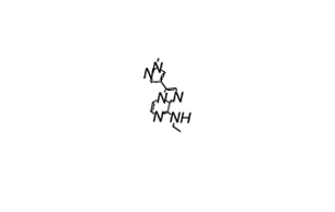 CCNc1nccn2c(-c3cnn(C)c3)cnc12